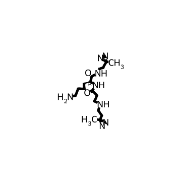 CC1(CCNCCC(=O)N[C@@H](CCCCN)C(=O)NCCC2(C)N=N2)N=N1